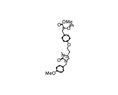 COC(=O)[C@H](Cc1ccc(OCC[C@H]2CN(Cc3ccc(OC)cc3)C(=O)N2C)cc1)OC(C)C